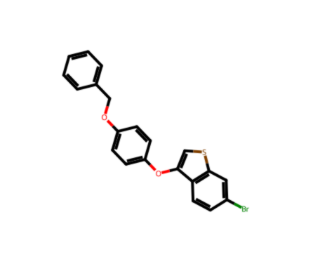 Brc1ccc2c(Oc3ccc(OCc4ccccc4)cc3)csc2c1